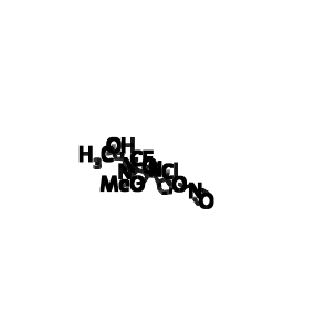 COCc1c(-c2cccc(OCCN3CCOCC3)c2Cl)noc1-c1cnn([C@H]2C[C@@](C)(O)C2)c1C(F)(F)F